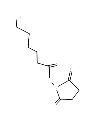 O=C(CCCCCO)ON1C(=O)CCC1=O